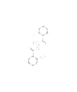 O=C(NNC(=O)c1ccccc1C(F)(F)F)c1ccccc1Cl